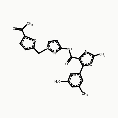 CC(=O)c1ccc(Cn2ccc(NC(=O)c3nc(C)oc3-c3cc(C)cc(C)c3)n2)o1